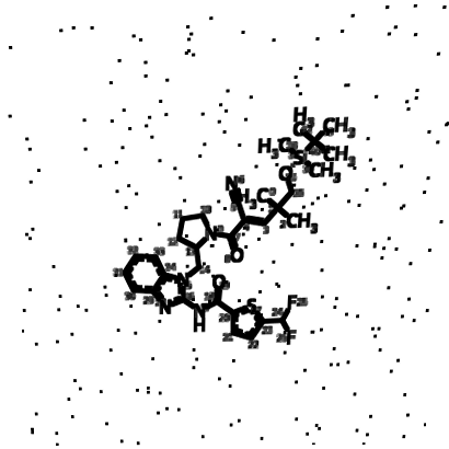 CC(C)(C=C(C#N)C(=O)N1CCCC1Cn1c(NC(=O)c2ccc(C(F)F)s2)nc2ccccc21)CO[Si](C)(C)C(C)(C)C